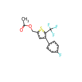 CC(=O)OCc1cc(-c2ccc(F)cc2)c(C(F)(F)F)s1